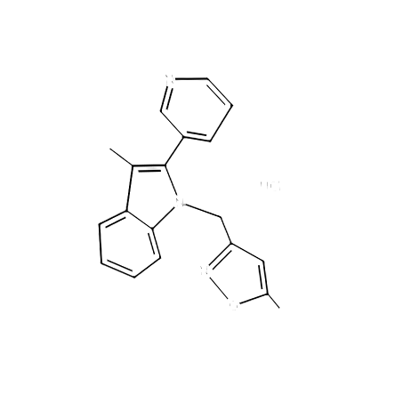 Cc1cc(Cn2c(-c3cccnc3)c(C)c3ccccc32)no1.Cl